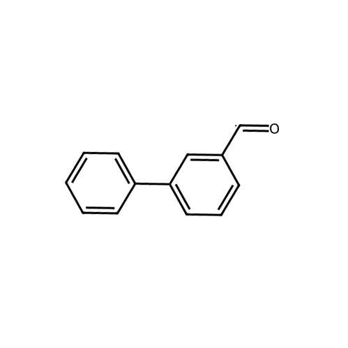 O=[C]c1cccc(-c2ccccc2)c1